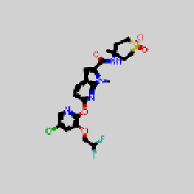 Cn1c(C(=O)NC2(C)CCS(=O)(=O)CC2)cc2ccc(Oc3ncc(Cl)cc3OCC(F)F)nc21